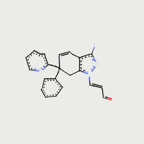 Nc1nn(C=CC=O)c2c1C=CC(c1ccccc1)(c1ccccn1)C2